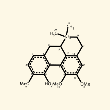 COc1ccc2c(c1O)-c1c(OC)c(OC)cc3c1C(C2)[N+](C)(C)CC3